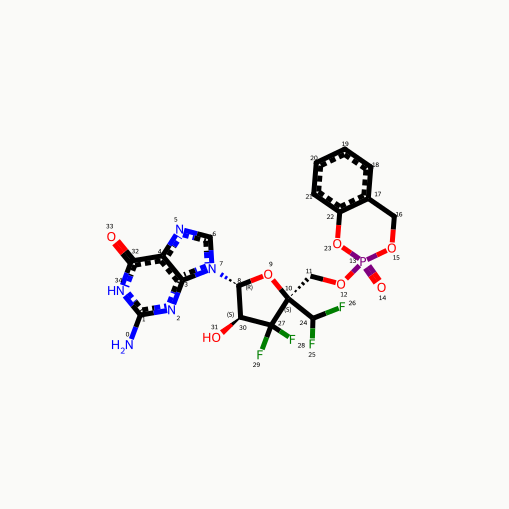 Nc1nc2c(ncn2[C@@H]2O[C@@](COP3(=O)OCc4ccccc4O3)(C(F)F)C(F)(F)[C@H]2O)c(=O)[nH]1